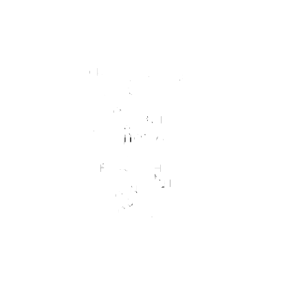 CO[C@H]1CC[C@H]([C@H](c2ccc(Cl)cc2)[C@H](NC(=O)O)C(=O)Nc2cccc(F)c2CC[C@H]2CN[C@@H]3CCCS(=O)(=O)N2C3)CC1